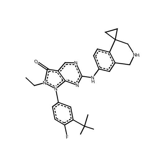 CCn1c(=O)c2cnc(Nc3ccc4c(c3)CNCC43CC3)nc2n1-c1ccc(F)c(C(C)(C)C)c1